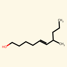 CCCC(C)/C=C/CCCCO